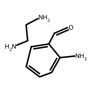 NCCN.Nc1ccccc1C=O